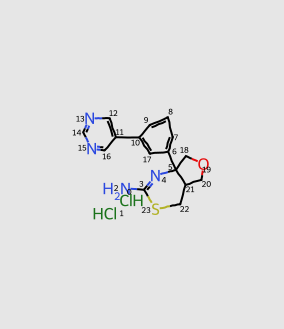 Cl.Cl.NC1=NC2(c3cccc(-c4cncnc4)c3)COCC2CS1